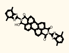 Cc1ccc(C)c2sc(N3C(=O)c4ccc5c6ccc7c8c(ccc(c9ccc(c4c59)C3=O)c86)C(O)N(c3nc4c(C)ccc(C)c4s3)C7=O)nc12